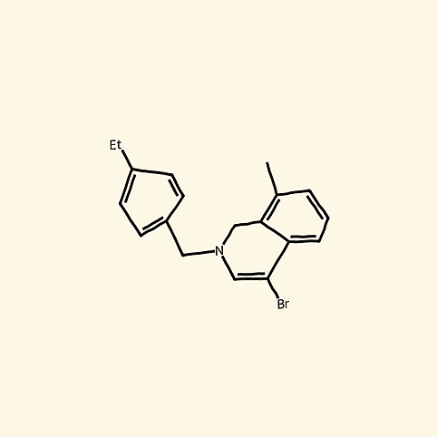 CCc1ccc(CN2C=C(Br)c3cccc(C)c3C2)cc1